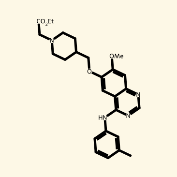 CCOC(=O)CN1CCC(COc2cc3c(Nc4cccc(C)c4)ncnc3cc2OC)CC1